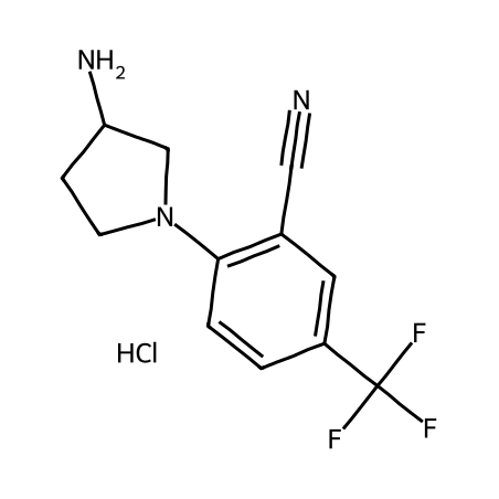 Cl.N#Cc1cc(C(F)(F)F)ccc1N1CCC(N)C1